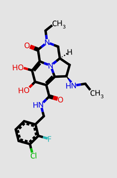 CCN[C@@H]1C[C@@H]2CN(CC)C(=O)C3=C(O)C(O)C(C(=O)NCc4cccc(Cl)c4F)=C1N32